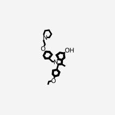 CCOc1ccc(-c2c(C)c3cc(O)ccc3n2Cc2ccc(OCCN3CCCCC3)cc2)cc1